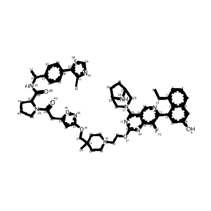 CCc1cccc2cc(O)cc(-c3ncc4c(N5CC6CCC(C5)N6)nc(OCCN5CCC(C)(COc6cc(CC(=O)N7CCCC7C(=O)NC(C)c7ccc(-c8scnc8C)cc7)on6)CC5)nc4c3F)c12